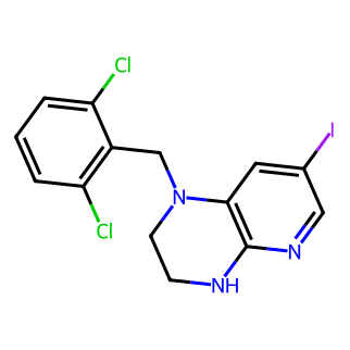 Clc1cccc(Cl)c1CN1CCNc2ncc(I)cc21